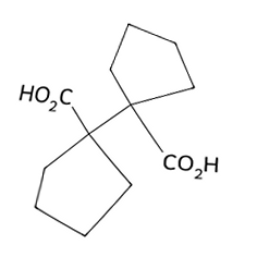 O=C(O)C1(C2(C(=O)O)CCCC2)CCCC1